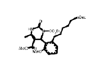 CCCCCCCCCCCCCCCc1cccc(OC)c1C1C(C(=O)OC)=C(C)NC(=O)N1C(=O)OCC